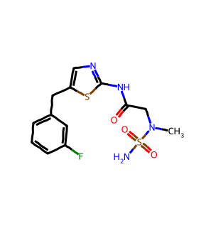 CN(CC(=O)Nc1ncc(Cc2cccc(F)c2)s1)S(N)(=O)=O